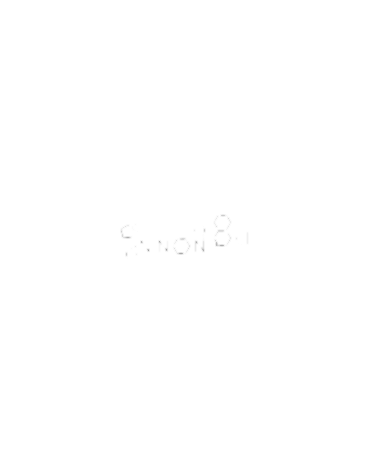 O=C(Nc1ccc(N2CCN(C(=O)c3cccs3)CC2)cc1)c1ccc(Cl)c2ccccc12